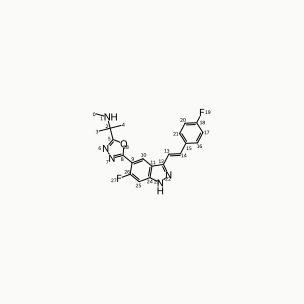 CNC(C)(C)c1nnc(-c2cc3c(C=Cc4ccc(F)cc4)n[nH]c3cc2F)o1